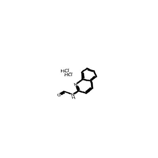 Cl.Cl.O=CNc1ccc2ccccc2n1